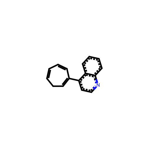 C1=CCC=C(c2ccnc3ccccc23)C=C1